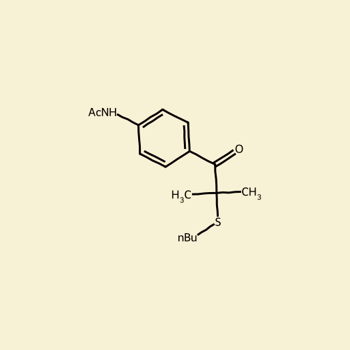 CCCCSC(C)(C)C(=O)c1ccc(NC(C)=O)cc1